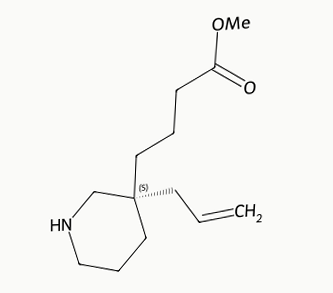 C=CC[C@]1(CCCC(=O)OC)CCCNC1